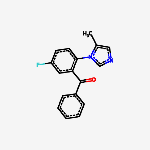 Cc1cncn1-c1ccc(F)cc1C(=O)c1ccccc1